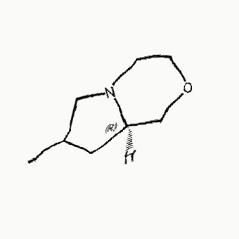 CC1C[C@@H]2COCCN2C1